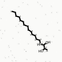 CCCCCCCCCCCCCCNC(O)C(C)O